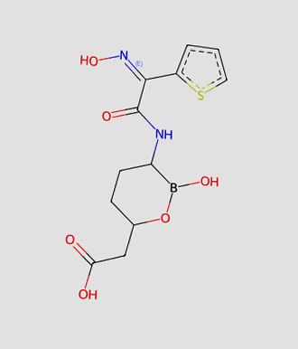 O=C(O)CC1CCC(NC(=O)/C(=N\O)c2cccs2)B(O)O1